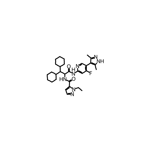 CCn1nccc1C(=O)NC(C(=O)Nc1cc(F)c(-c2c(C)n[nH]c2C)cn1)C(C1CCCCC1)C1CCCCC1